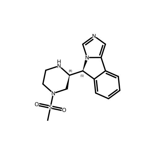 CS(=O)(=O)N1CCN[C@@H]([C@@H]2c3ccccc3-c3cncn32)C1